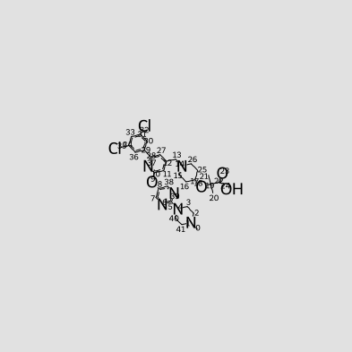 CN1CCN(c2ncc(Oc3cc(CN4CCC(OC(C)(C)C(=O)O)CC4)cc(-c4cc(Cl)cc(Cl)c4)n3)cn2)CC1